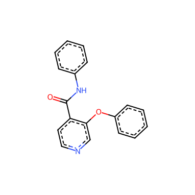 O=C(Nc1ccccc1)c1ccncc1Oc1ccccc1